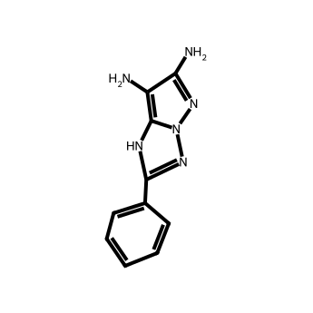 Nc1nn2nc(-c3ccccc3)[nH]c2c1N